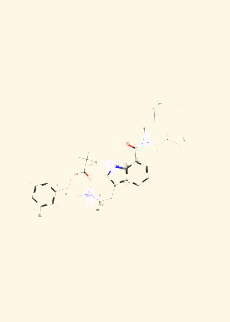 CCCCN(CCCC)C(=O)c1cccc2c(C[C@@H](C)NC[C@H](OC(=O)C(F)(F)F)c3cccc(Cl)c3)c[nH]c12